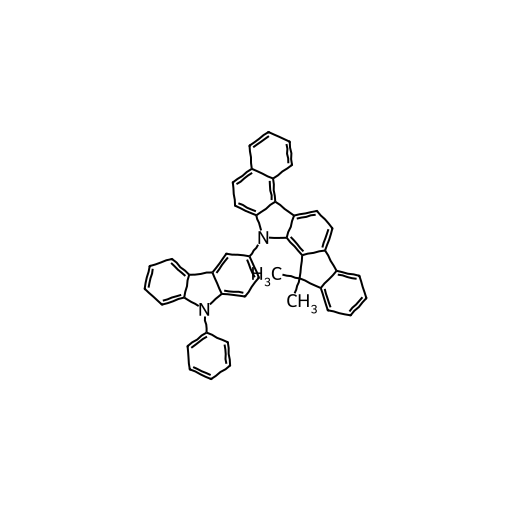 CC1(C)c2ccccc2-c2ccc3c4c5ccccc5ccc4n(-c4ccc5c(c4)c4ccccc4n5-c4ccccc4)c3c21